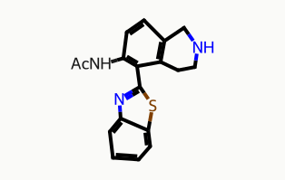 CC(=O)Nc1ccc2c(c1-c1nc3ccccc3s1)CCNC2